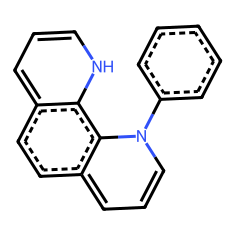 C1=CNc2c3c(ccc2=C1)=CC=CN3c1ccccc1